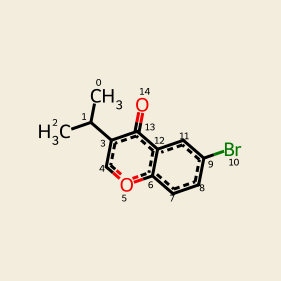 CC(C)c1coc2ccc(Br)cc2c1=O